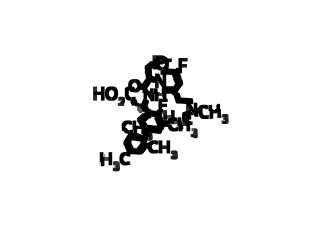 Cc1cc(C)c(-c2cc(C)c(F)c([C@H](CC(=O)O)NC(=O)C(CC(C)C)n3cc(CCN(C)C)cc(F)c3=O)c2)c(C)c1